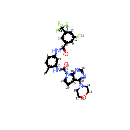 Cc1ccc(NC(=O)c2cc(F)cc(C(F)(F)F)c2)cc1NC(=O)n1ccc2c(N3CCOCC3)ncnc21